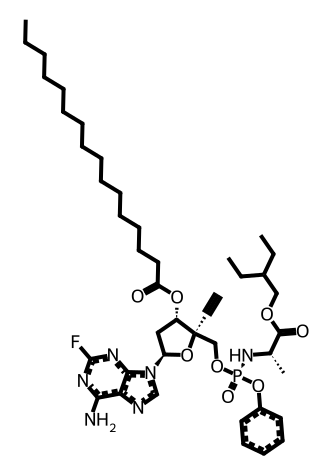 C#C[C@]1(CO[P@@](=O)(N[C@@H](C)C(=O)OCC(CC)CC)Oc2ccccc2)O[C@@H](n2cnc3c(N)nc(F)nc32)C[C@@H]1OC(=O)CCCCCCCCCCCCCCC